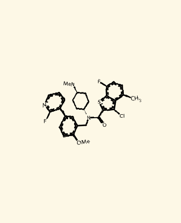 CN[C@H]1CC[C@H](N(Cc2cc(-c3cccnc3F)ccc2OC)C(=O)c2sc3c(F)ccc(C)c3c2Cl)CC1